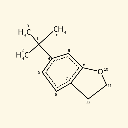 CC(C)(C)c1ccc2c(c1)OCC2